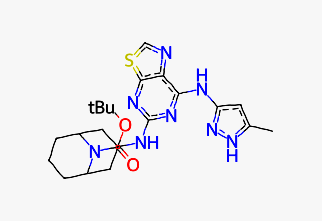 Cc1cc(Nc2nc(NC3CC4CCCC(C3)N4C(=O)OC(C)(C)C)nc3scnc23)n[nH]1